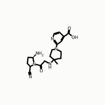 CC1(NCC(=O)N2C(C#N)CC[C@H]2N)CCN(c2cc(C(=O)O)ccn2)CC1